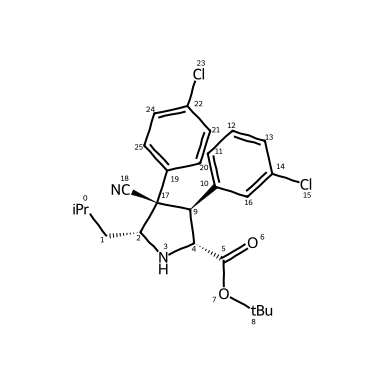 CC(C)C[C@H]1N[C@@H](C(=O)OC(C)(C)C)[C@H](c2cccc(Cl)c2)[C@@]1(C#N)c1ccc(Cl)cc1